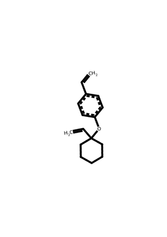 C=Cc1ccc(OC2(C=C)CCCCC2)cc1